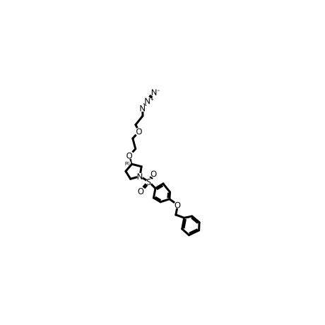 [N-]=[N+]=NCCOCCO[C@@H]1CCN(S(=O)(=O)c2ccc(OCc3ccccc3)cc2)C1